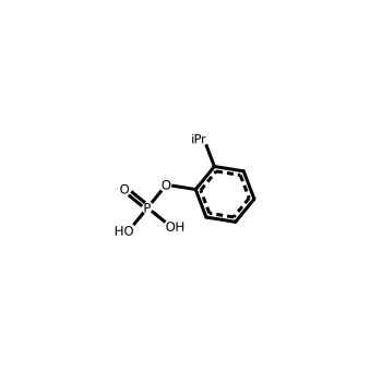 CC(C)c1ccccc1OP(=O)(O)O